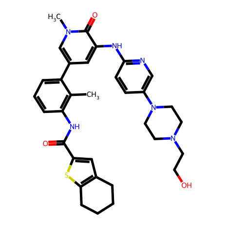 Cc1c(NC(=O)c2cc3c(s2)CCCC3)cccc1-c1cc(Nc2ccc(N3CCN(CCO)CC3)cn2)c(=O)n(C)c1